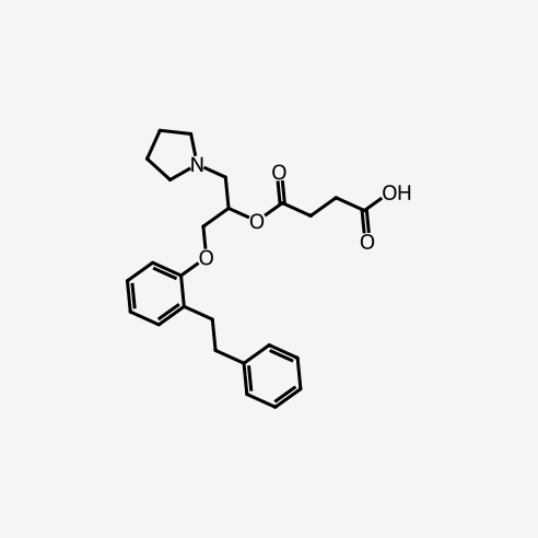 O=C(O)CCC(=O)OC(COc1ccccc1CCc1ccccc1)CN1CCCC1